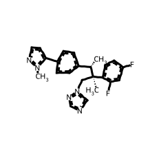 C[C@@H](c1ccc(-c2ccnn2C)cc1)[C@](C)(Cn1cncn1)c1ccc(F)cc1F